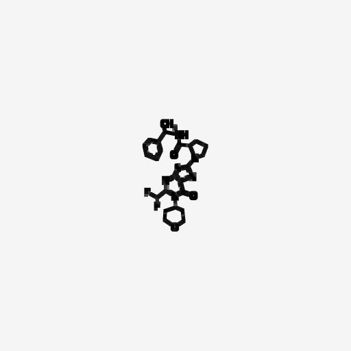 C[C@@H](NC(=O)C1CCCN1c1nc2c(=O)n(C3CCOCC3)c(C(F)F)nc2s1)c1ccccc1